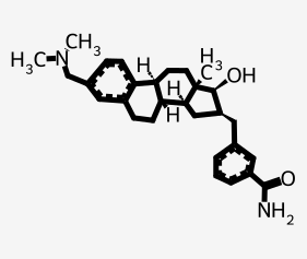 CN(C)Cc1ccc2c(c1)CC[C@@H]1[C@@H]2CC[C@]2(C)[C@@H](O)[C@@H](Cc3cccc(C(N)=O)c3)C[C@@H]12